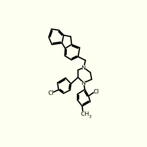 Cc1ccc(N2CCN(Cc3ccc4c(c3)Cc3ccccc3-4)CC2c2ccc(Cl)cc2)c(Cl)c1